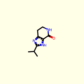 CC(C)c1nc2c([nH]1)C(=O)NCC2